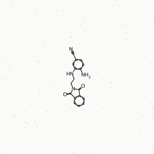 N#Cc1ccc(N)c(NCCN2C(=O)c3ccccc3C2=O)c1